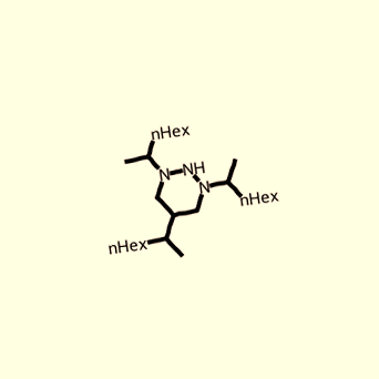 CCCCCCC(C)C1CN(C(C)CCCCCC)NN(C(C)CCCCCC)C1